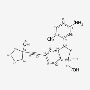 C[C@@]1(CO)CN(c2nc(N)ncc2Cl)c2cc(C#CC3(O)CCCC3)ccc21